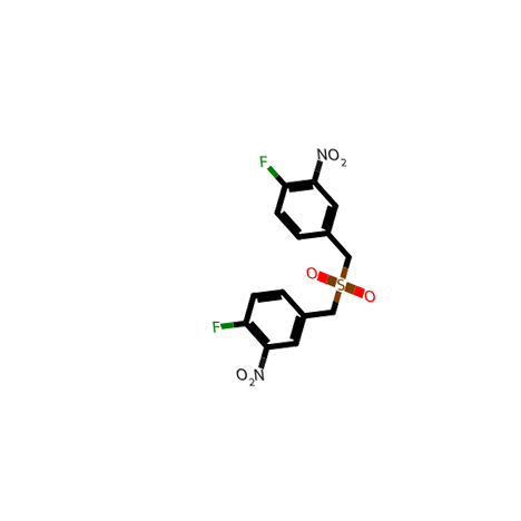 O=[N+]([O-])c1cc(CS(=O)(=O)Cc2ccc(F)c([N+](=O)[O-])c2)ccc1F